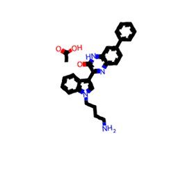 CC(=O)O.NCCCCn1cc(-c2nc3ccc(-c4ccccc4)cc3[nH]c2=O)c2ccccc21